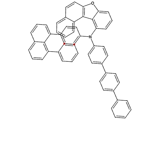 c1ccc(-c2ccc(-c3ccc(N(c4ccc(-c5cccc6cccc(-c7ccccc7)c56)cc4)c4cccc5oc6ccc7ccccc7c6c45)cc3)cc2)cc1